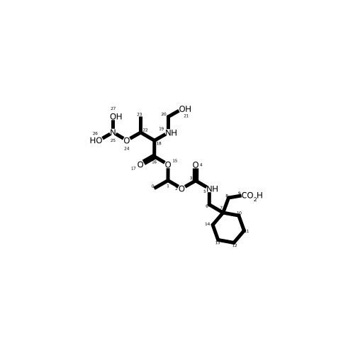 CC(OC(=O)NCC1(CC(=O)O)CCCCC1)OC(=O)C(NCO)C(C)ON(O)O